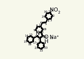 O=[N+]([O-])c1ccc(C=Cc2ccn3c(-c4ccccc4)c(-c4ccccc4)c(O)c3c2)cc1.[Na+]